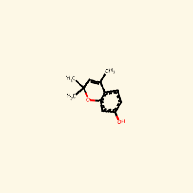 CC1=CC(C)(C)Oc2cc(O)ccc21